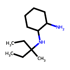 CCC(C)(CC)NC1CCCCC1N